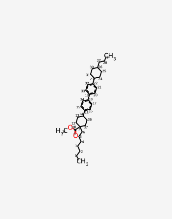 CCCCCCCC1(C(=O)OC)CCC(c2ccc(-c3ccc(C4CCC(CCC)CC4)cc3)cc2)CC1